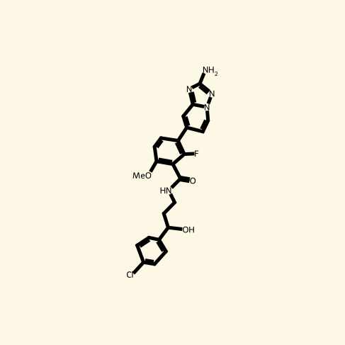 COc1ccc(-c2ccn3nc(N)nc3c2)c(F)c1C(=O)NCCC(O)c1ccc(Cl)cc1